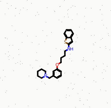 c1cc(CN2CCCCC2)cc(OCCCCNc2cc3ccccc3s2)c1